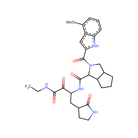 COc1cccc2[nH]c(C(=O)N3CC4CCCC4C3C(=O)NC(CC3CCNC3=O)C(=O)C(=O)NCC(F)(F)F)cc12